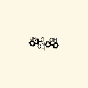 O=C(Nc1ccc(C2CCCCC2)c(O)c1)c1c[nH]c2ccccc2c1=O